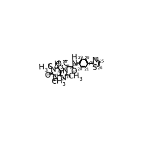 Cc1nc2c(c(=O)n(C)c(=O)n2C)n1[C@@H](C)C(=O)Nc1ccc(-c2nccs2)cc1